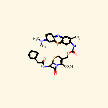 Cc1cc2nc3ccc(=[N+](C)C)cc-3sc2cc1NC(=O)OCC1=C(C(=O)O)N2C(=O)C(NC(=O)Cc3ccccc3)C2SC1